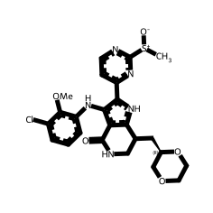 COc1c(Cl)cccc1Nc1c(-c2ccnc([S+](C)[O-])n2)[nH]c2c1C(=O)NCC2C[C@@H]1COCCO1